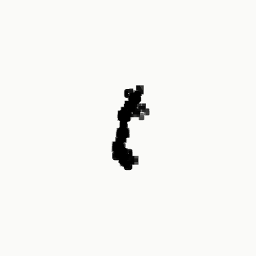 Cc1c(-c2ccc(C#N)c(Cl)c2)nn(Cc2ccc(C#CC3CCC(CCc4ccc5c(c4)CN(C4CCC(=O)NC4=O)C5=O)CC3)cc2)c1C